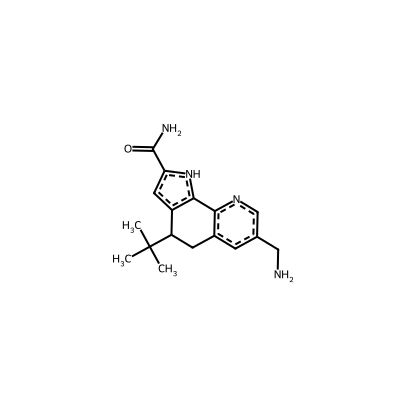 CC(C)(C)C1Cc2cc(CN)cnc2-c2[nH]c(C(N)=O)cc21